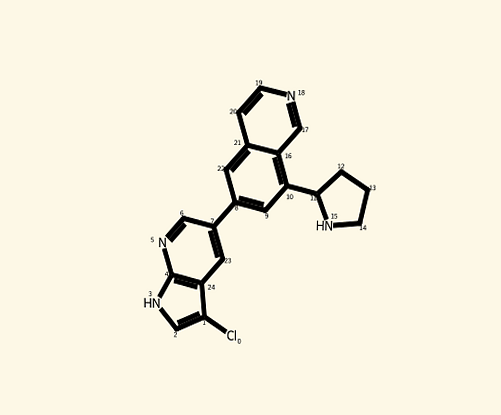 Clc1c[nH]c2ncc(-c3cc(C4CCCN4)c4cnccc4c3)cc12